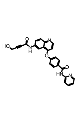 O=C(C#CCO)Nc1ccc2nccc(Oc3ccc(C(=O)Nc4ccccn4)cc3)c2c1